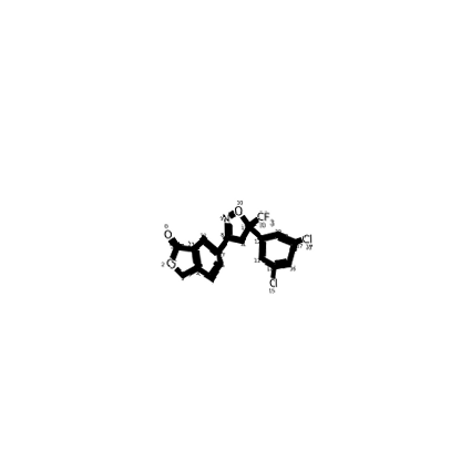 O=C1OCc2ccc(C3=NOC(c4cc(Cl)cc(Cl)c4)(C(F)(F)F)C3)cc21